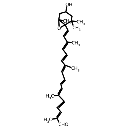 C\C(C=O)=C/C=C/C(C)=C/C=C/C=C(C)/C=C/C=C(C)/C=C/C12OC1(C)CC(O)CC2(C)C